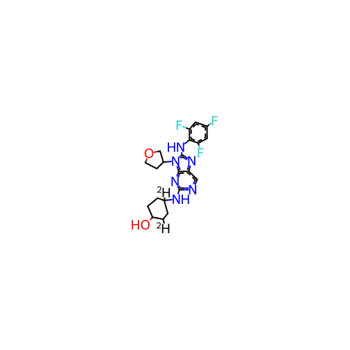 [2H]C1CC([2H])(Nc2ncc3nc(Nc4c(F)cc(F)cc4F)n(C4CCOC4)c3n2)CCC1O